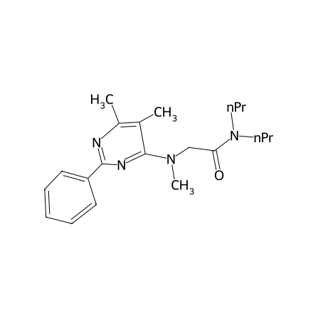 CCCN(CCC)C(=O)CN(C)c1nc(-c2ccccc2)nc(C)c1C